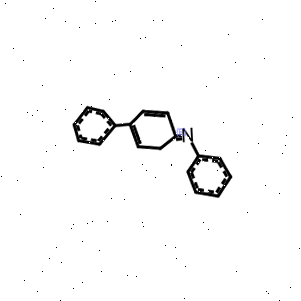 C1=C/C(=N/c2ccccc2)CC=C1c1ccccc1